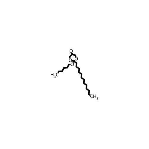 CCCCCCCCCCCCCC1(OCCCCCC)OCC(=O)CO1